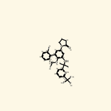 CC(C)(Nc1cc(N2CCCC2=O)cc(-c2ccccc2F)c1OC(F)F)c1cccc(C(F)(F)F)n1